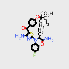 C[C@H](C(N)=O)N(c1ccc(F)cc1)c1nc(N)c(C(=O)c2ccc(OC(C)(C)C(=O)O)cc2)s1